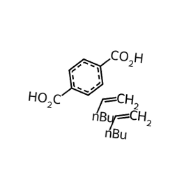 C=CCCCC.C=CCCCC.O=C(O)c1ccc(C(=O)O)cc1